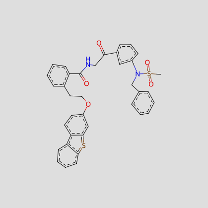 CS(=O)(=O)N(Cc1ccccc1)c1cccc(C(=O)CNC(=O)c2ccccc2CCOc2ccc3c(c2)sc2ccccc23)c1